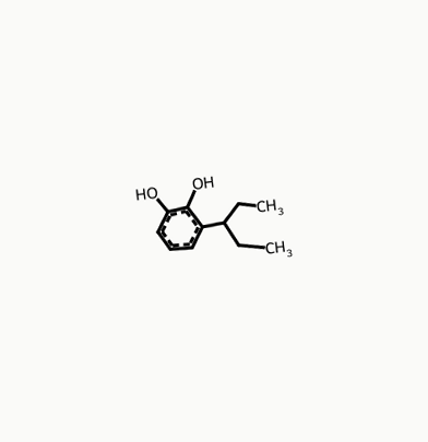 CCC(CC)c1cccc(O)c1O